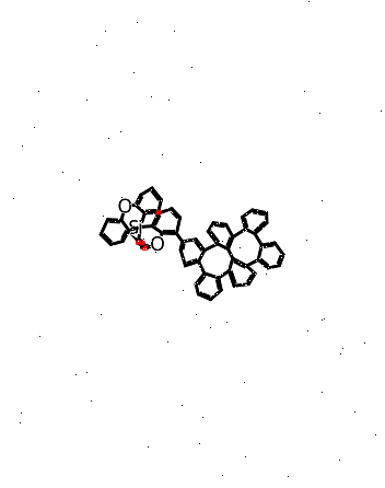 c1ccc2c(c1)Oc1ccccc1[Si]21c2ccccc2Oc2c(-c3ccc4c(c3)c3cccc5c3-c3c(cccc3c3ccccc34)c3ccccc3c3ccccc53)cccc21